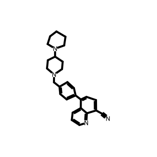 N#Cc1ccc(-c2ccc(CN3CCC(N4CCCCC4)CC3)cc2)c2cccnc12